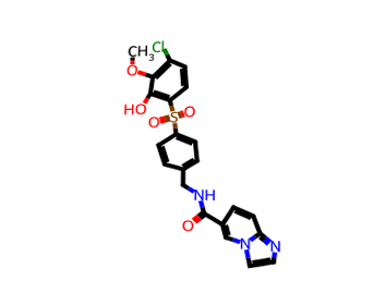 COc1c(Cl)ccc(S(=O)(=O)c2ccc(CNC(=O)c3ccc4nccn4c3)cc2)c1O